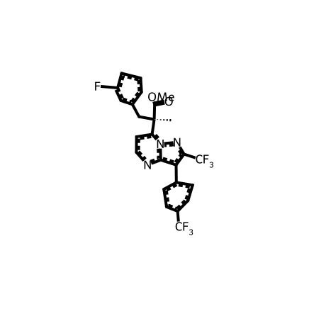 COC(=O)[C@](C)(Cc1cccc(F)c1)c1ccnc2c(-c3ccc(C(F)(F)F)cc3)c(C(F)(F)F)nn12